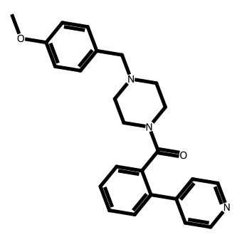 COc1ccc(CN2CCN(C(=O)c3ccccc3-c3ccncc3)CC2)cc1